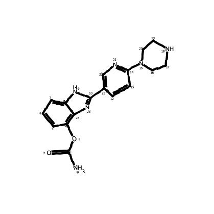 NC(=O)Oc1cccc2[nH]c(-c3ccc(N4CCNCC4)nc3)nc12